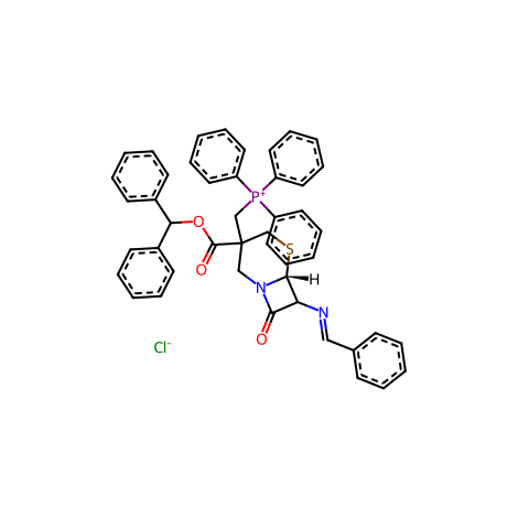 O=C1C(N=Cc2ccccc2)[C@H]2SCC(C[P+](c3ccccc3)(c3ccccc3)c3ccccc3)(C(=O)OC(c3ccccc3)c3ccccc3)CN12.[Cl-]